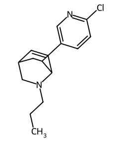 CCCN1CC2C=CC1C(c1ccc(Cl)nc1)C2